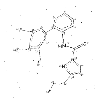 O=C(Nc1ccccc1-c1cc(F)c(F)c(F)c1)n1c[c]c(CCF)n1